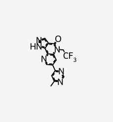 Cc1cc(-c2cnc3c4[nH]ncc4c(=O)n(CC(F)(F)F)c3c2)ncn1